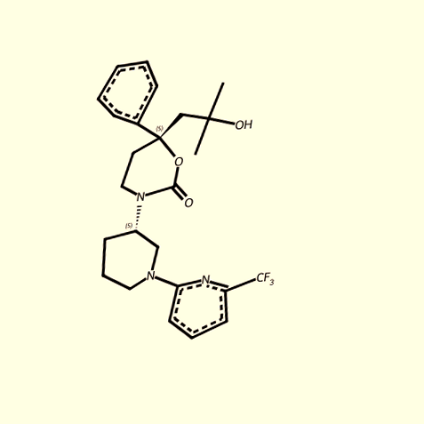 CC(C)(O)C[C@]1(c2ccccc2)CCN([C@H]2CCCN(c3cccc(C(F)(F)F)n3)C2)C(=O)O1